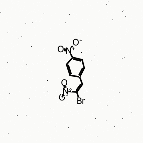 O=[N+]([O-])/C(Br)=C\c1ccc([N+](=O)[O-])cc1